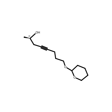 C[C@@H](O)CC#CCCCOC1CCCCO1